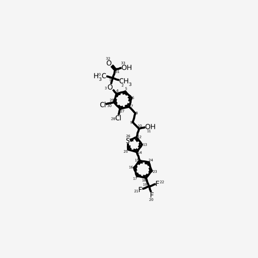 CC(C)(Oc1ccc(CCC(O)c2cc(-c3ccc(C(F)(F)F)cc3)cs2)c(Cl)c1Cl)C(=O)O